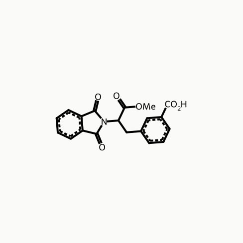 COC(=O)C(Cc1cccc(C(=O)O)c1)N1C(=O)c2ccccc2C1=O